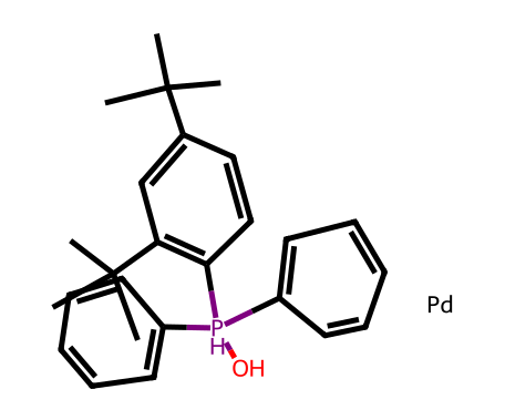 CC(C)(C)c1ccc([PH](O)(c2ccccc2)c2ccccc2)c(C(C)(C)C)c1.[Pd]